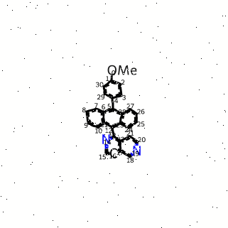 COc1ccc(-c2c3ccccc3c(-c3nccc4cnccc34)c3ccccc23)cc1